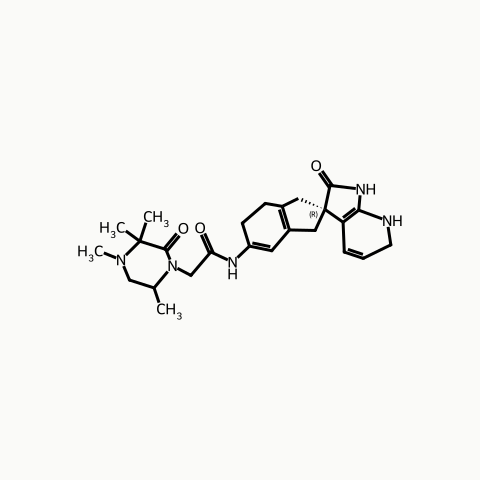 CC1CN(C)C(C)(C)C(=O)N1CC(=O)NC1=CC2=C(CC1)C[C@]1(C2)C(=O)NC2=C1C=CCN2